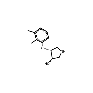 Cc1cccc(O[C@@H]2CNC[C@H]2O)c1C